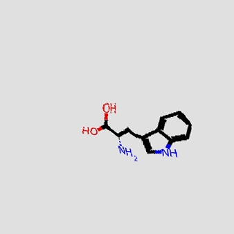 N[C@@H](Cc1c[nH]c2ccccc12)C(O)O